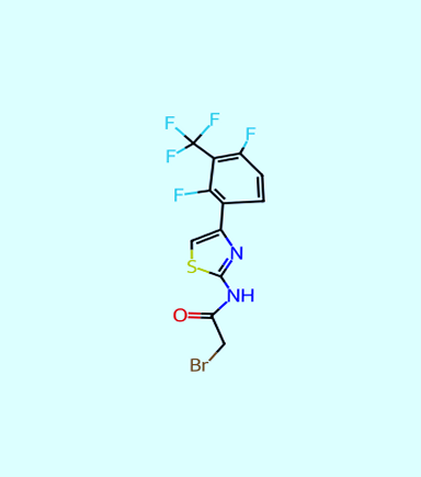 O=C(CBr)Nc1nc(-c2ccc(F)c(C(F)(F)F)c2F)cs1